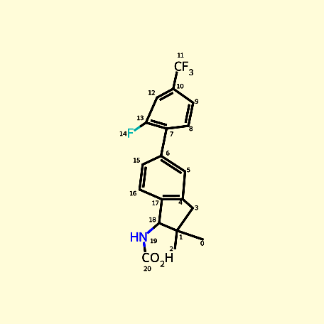 CC1(C)Cc2cc(-c3ccc(C(F)(F)F)cc3F)ccc2C1NC(=O)O